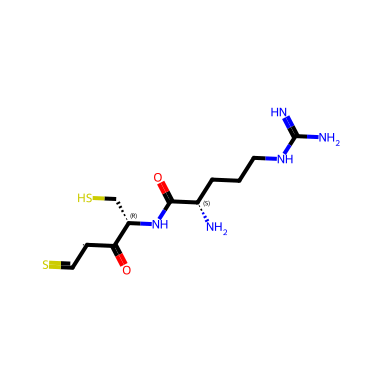 N=C(N)NCCC[C@H](N)C(=O)N[C@@H](CS)C(=O)[CH]C=S